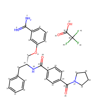 N=C(N)c1cccc(OC[C@@H](Cc2ccccc2)NC(=O)c2ccc(C(=O)N3CCCC3)cc2)c1.O=C(O)C(F)(F)F